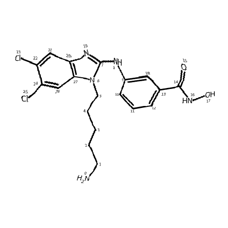 NCCCCCn1c(Nc2cccc(C(=O)NO)c2)nc2cc(Cl)c(Cl)cc21